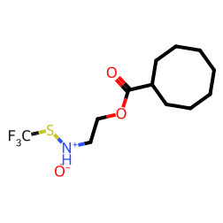 O=C(OCC[NH+]([O-])SC(F)(F)F)C1CCCCCCC1